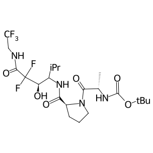 CC(C)C(NC(=O)[C@@H]1CCCN1C(=O)[C@H](C)NC(=O)OC(C)(C)C)[C@@H](O)C(F)(F)C(=O)NCC(F)(F)F